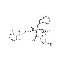 Cc1cccc(C)c1NCCCC(=O)N(C(=O)c1ccc(Cl)cc1)[C@@H](Cc1ccccc1)C(=O)O